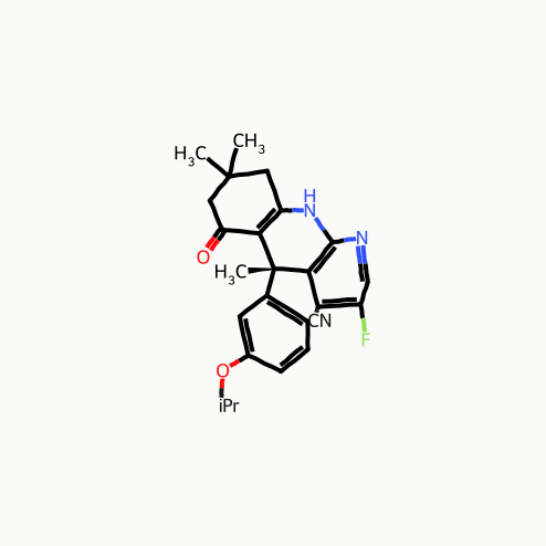 CC(C)Oc1cccc([C@]2(C)C3=C(CC(C)(C)CC3=O)Nc3ncc(F)c(C#N)c32)c1